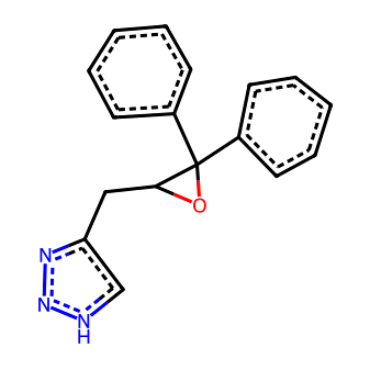 c1ccc(C2(c3ccccc3)OC2Cc2c[nH]nn2)cc1